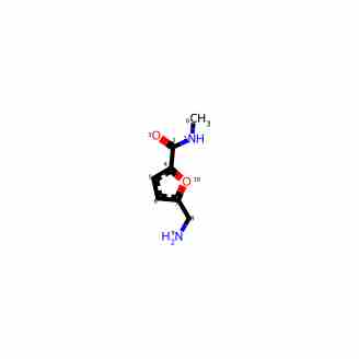 CNC(=O)c1ccc(CN)o1